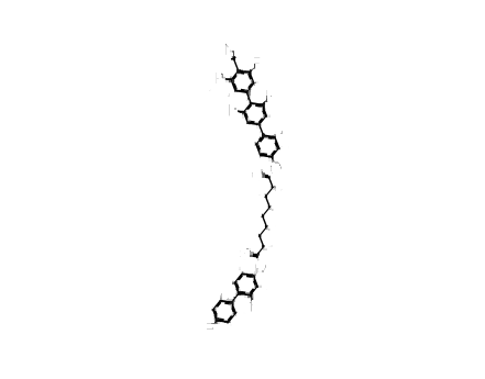 N#Cc1c(F)cc(-c2c(F)cc(-c3ccc(OC(=O)CCCCCCCC(=O)Oc4ccc(-c5ccc(F)cc5)c(F)c4)cc3)cc2F)cc1P